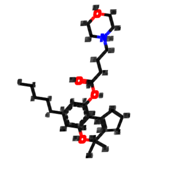 CCCCCc1cc(OC(=O)CCCN2CCOCC2)c2c(c1)OC(C)(C)C1=C2CCC1